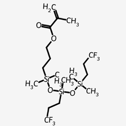 C=C(C)C(=O)OCCC[Si](C)(C)O[Si](C)(CCC(F)(F)F)O[Si](C)(C)CCC(F)(F)F